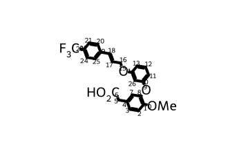 COc1ccc(CC(=O)O)cc1Oc1cccc(OCC=Cc2ccc(C(F)(F)F)cc2)c1